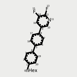 CCCCCCc1ccc(-c2ccc(-c3cnc(F)c(F)c3)cc2)cc1